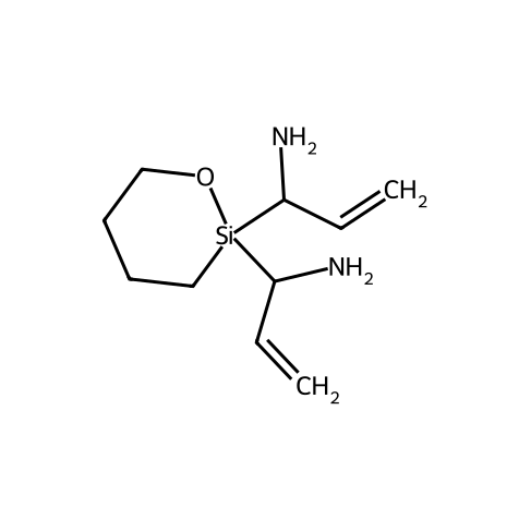 C=CC(N)[Si]1(C(N)C=C)CCCCO1